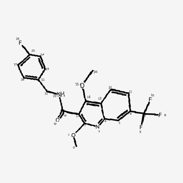 COc1nc2cc(C(F)(F)F)ccc2c(OC)c1C(=O)NCc1ccc(F)cc1